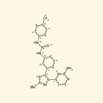 CC(C)(C)c1nc(-c2ccnc(N)n2)c(-c2cccc(NC(=O)Nc3ccc(C(F)(F)F)cc3)c2)s1